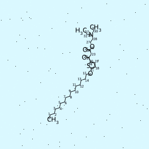 CCCCCCCCCCCCCCCCOc1ccc(C(=O)CC(=O)OCCN(CC)CC)s1